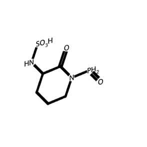 O=[PH2]N1CCCC(NS(=O)(=O)O)C1=O